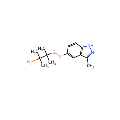 Cc1n[nH]c2ccc(BOC(C)(C)C(C)(C)P)cc12